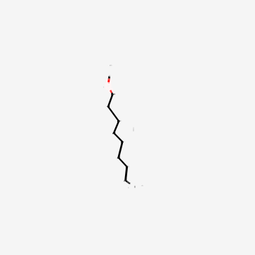 CCCCCCCCCCCCCCCOC(=O)O.[LiH]